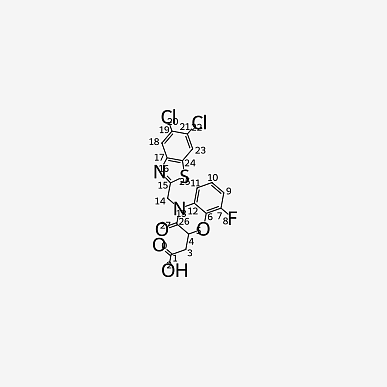 O=C(O)CC1Oc2c(F)cccc2N(Cc2nc3cc(Cl)c(Cl)cc3s2)C1=O